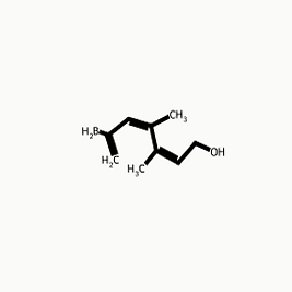 BC(=C)/C=C(C)\C(C)=C/CO